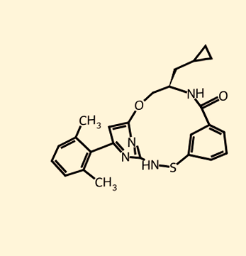 Cc1cccc(C)c1-c1cc2nc(n1)NSc1cccc(c1)C(=O)N[C@H](CC1CC1)CO2